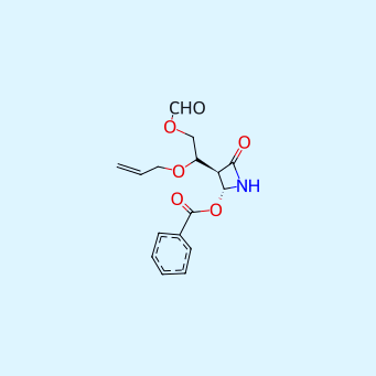 C=CCOC(COC=O)[C@H]1C(=O)N[C@@H]1OC(=O)c1ccccc1